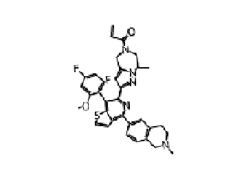 C=CC(=O)N1Cc2cc(-c3nc(-c4ccc5c(c4)CCN(C)C5)c4ccsc4c3-c3c(F)cc(F)cc3OC)nn2C(C)C1